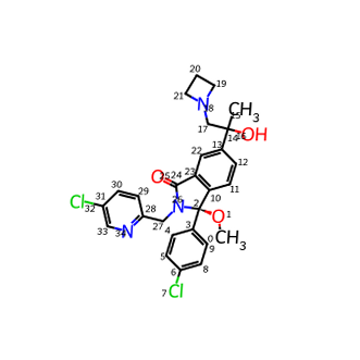 CO[C@]1(c2ccc(Cl)cc2)c2ccc(C(C)(O)CN3CCC3)cc2C(=O)N1Cc1ccc(Cl)cn1